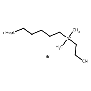 CCCCCCCCCCCC[N+](C)(C)CCC#N.[Br-]